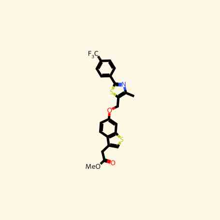 COC(=O)Cc1csc2cc(OCc3sc(-c4ccc(C(F)(F)F)cc4)nc3C)ccc12